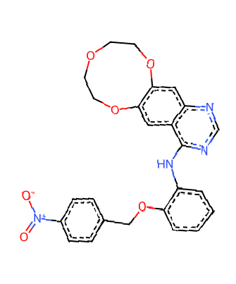 O=[N+]([O-])c1ccc(COc2ccccc2Nc2ncnc3cc4c(cc23)OCCOCCO4)cc1